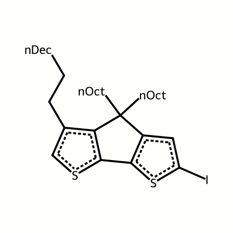 CCCCCCCCCCCCc1csc2c1C(CCCCCCCC)(CCCCCCCC)c1cc(I)sc1-2